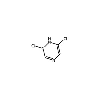 ClC1=CN=CN(Cl)N1